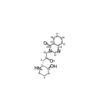 O=C(C[C@H]1NCCC[C@@H]1O)Cn1cnc2ccccc2c1=O